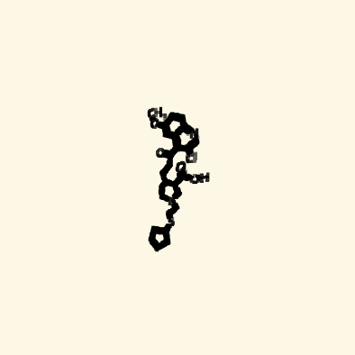 COc1ccc2ncc(Cl)c(C(=O)CCC3CCN(CCSC4CCCC4)CC3C(=O)O)c2c1